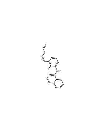 C=CC/C=C\c1cccc(Nc2cccc3ccccc23)c1C